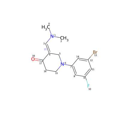 CN(C)/C=C1\CN(c2cc(F)cc(Br)c2)CCC1=O